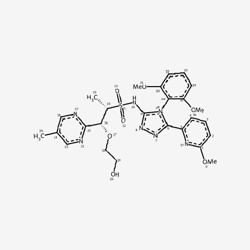 COc1cccc(-c2nnc(NS(=O)(=O)[C@@H](C)[C@H](OCCO)c3ncc(C)cn3)n2-c2c(OC)cccc2OC)n1